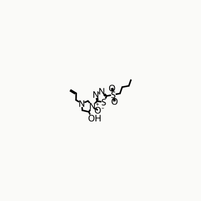 C=CCN1CC(O)[N+]([O-])(c2nnc(S(=O)(=O)CCCC)s2)C1